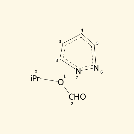 CC(C)OC=O.c1ccnnc1